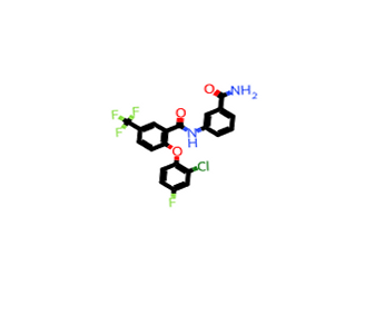 NC(=O)c1cccc(NC(=O)c2cc(C(F)(F)F)ccc2Oc2ccc(F)cc2Cl)c1